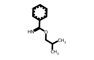 CC(C)COC(=N)c1c[c]ccc1